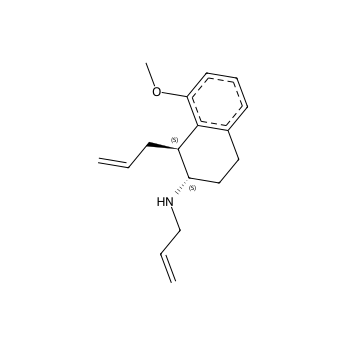 C=CCN[C@H]1CCc2cccc(OC)c2[C@@H]1CC=C